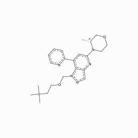 C[C@@H]1COCCN1c1cc(-c2ccccn2)c2c(cnn2COCCS(C)(C)C)n1